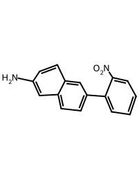 Nc1ccc2cc(-c3ccccc3[N+](=O)[O-])ccc2c1